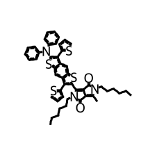 CCCCCCN1C(=O)C2=C(c3sc4cc5c(-c6cccs6)c(N(c6ccccc6)c6ccccc6)sc5cc4c3-c3cccs3)N(CCCCCC)C(=O)C2=C1C